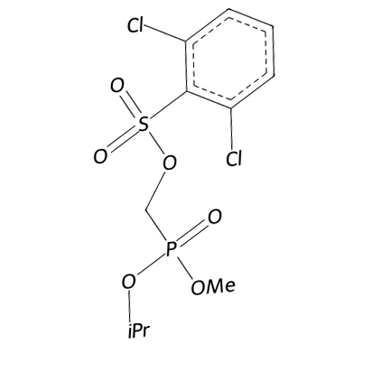 COP(=O)(COS(=O)(=O)c1c(Cl)cccc1Cl)OC(C)C